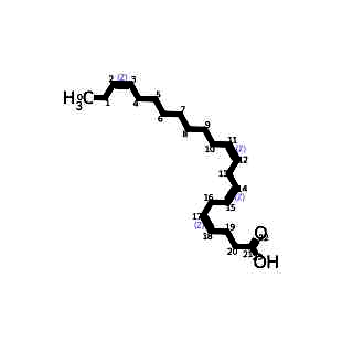 CC/C=C\CCCCCCC/C=C\C/C=C\C/C=C\CCC(=O)O